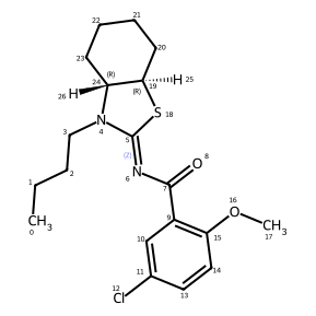 CCCCN1/C(=N/C(=O)c2cc(Cl)ccc2OC)S[C@@H]2CCCC[C@H]21